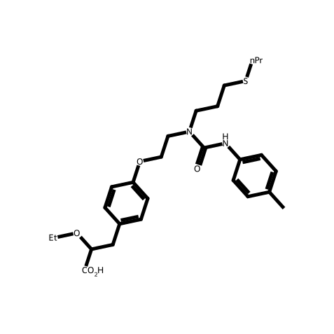 CCCSCCCN(CCOc1ccc(CC(OCC)C(=O)O)cc1)C(=O)Nc1ccc(C)cc1